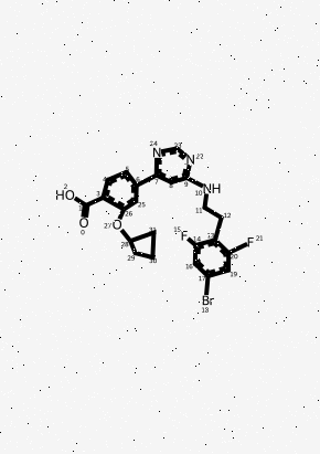 O=C(O)c1ccc(-c2cc(NCCc3c(F)cc(Br)cc3F)ncn2)cc1OC1CCC1